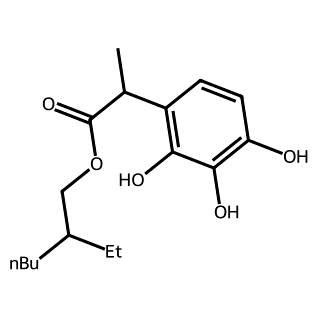 CCCCC(CC)COC(=O)C(C)c1ccc(O)c(O)c1O